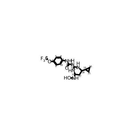 O=C(Nc1ccc(OC(F)(F)F)cc1)NC1NC(NO)CC(C2CC2)N1